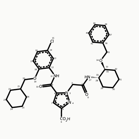 O=C(Cn1nc(C(=O)O)cc1C(=O)Nc1cc(Cl)ccc1OCC1CCCCC1)N[C@H]1CCCC[C@@H]1OCc1ccccc1